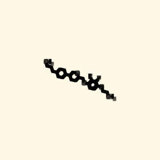 C=CCCC1CCC(C2CCC(COc3ccc(OCCC)c(F)c3F)OC2)CC1